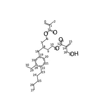 C=C(C)C(=O)OCCC(CCOC(=O)C(=C)CO)Cc1ccc(CCCCC)c(CC)c1